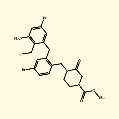 Cc1cc(Br)cc(Cc2cc(Br)ccc2CN2CCN(C(=O)OC(C)(C)C)CC2=O)c1CBr